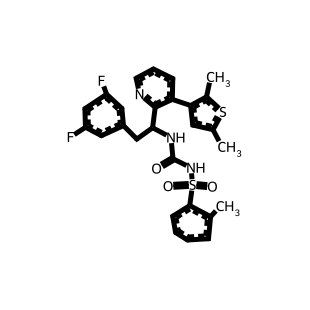 Cc1cc(-c2cccnc2C(Cc2cc(F)cc(F)c2)NC(=O)NS(=O)(=O)c2ccccc2C)c(C)s1